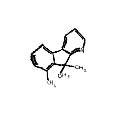 Cc1cccc2c1C(C)(C)c1ncccc1-2